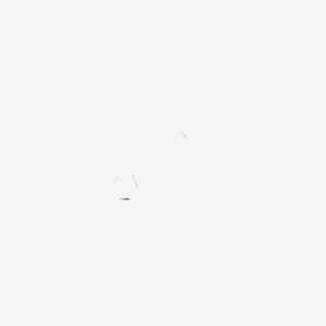 CCC(C)c1ccc(OCCCC(=O)OC2C3CC4CC(C3)CC2C4)cc1